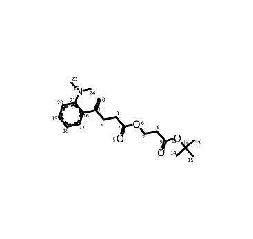 C=C(CCC(=O)OCCC(=O)OC(C)(C)C)c1ccccc1N(C)C